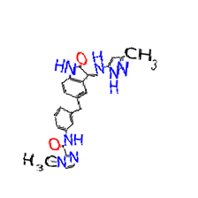 Cc1cc(N/C=C2\C(=O)Nc3ccc(Cc4cccc(NC(=O)c5nccn5C)c4)cc32)[nH]n1